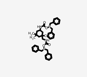 CC1(C)CC(NC(=O)ON(Cc2ccccc2)Cc2ccccc2)CC(C)(CNC(=O)ON(Cc2ccccc2)Cc2ccccc2)C1